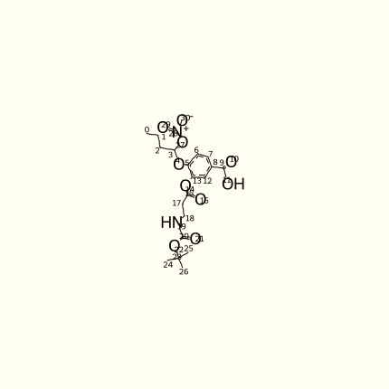 CCCC(Oc1ccc(C(=O)O)cc1OC(=O)CCNC(=O)OC(C)(C)C)O[N+](=O)[O-]